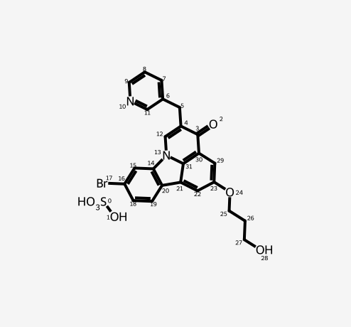 O=S(=O)(O)O.O=c1c(Cc2cccnc2)cn2c3cc(Br)ccc3c3cc(OCCCO)cc1c32